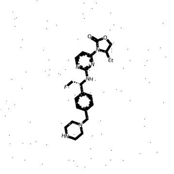 CCC1COC(=O)N1c1ccnc(N[C@@H](CF)c2ccc(CN3CCNCC3)cc2)n1